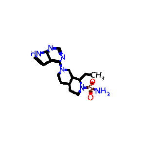 CCC1C2CN(c3ncnc4[nH]ccc34)CCC2CCN1S(N)(=O)=O